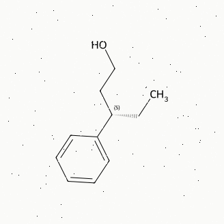 CC[C@@H](CCO)c1ccccc1